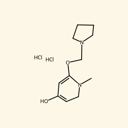 CN1CC=C(O)C=C1OCN1CCCC1.Cl.Cl